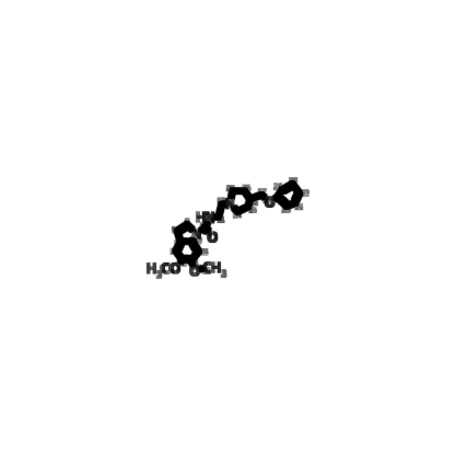 COc1cc2ccn(C(=O)NCCN3CCC(COc4ccccc4)CC3)c2cc1OC